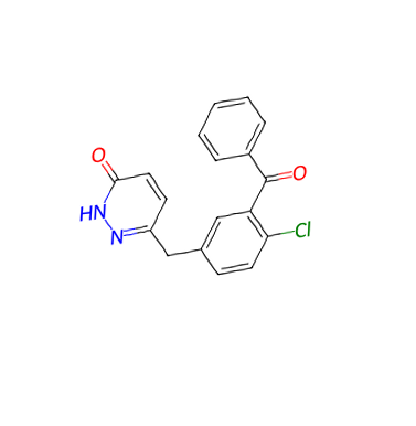 O=C(c1ccccc1)c1cc(Cc2ccc(=O)[nH]n2)ccc1Cl